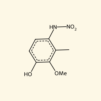 COc1c(O)ccc(N[N+](=O)[O-])c1C